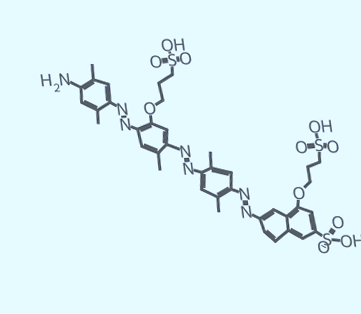 Cc1cc(N=Nc2cc(C)c(N=Nc3cc(C)c(N=Nc4ccc5cc(S(=O)(=O)O)cc(OCCCS(=O)(=O)O)c5c4)cc3C)cc2OCCCS(=O)(=O)O)c(C)cc1N